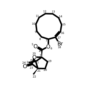 CC1(C)[C@@]2(C(=O)OC3CCCCCCCC/C=C\3Br)CC[C@]1(C)C(=O)O2